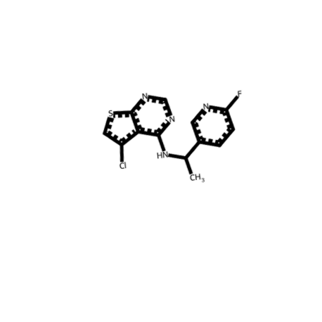 CC(Nc1ncnc2scc(Cl)c12)c1ccc(F)nc1